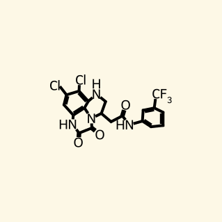 O=C(CC1CNc2c(Cl)c(Cl)cc3[nH]c(=O)c(=O)n1c23)Nc1cccc(C(F)(F)F)c1